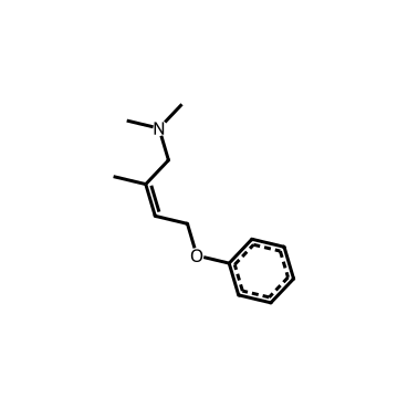 CC(=CCOc1ccccc1)CN(C)C